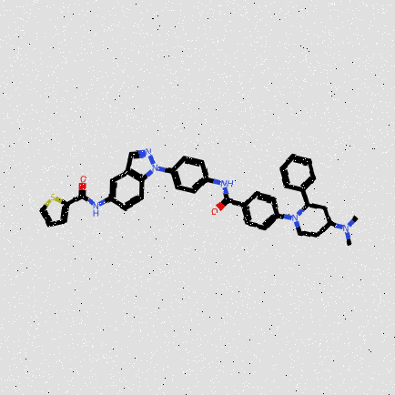 CN(C)C1CCN(c2ccc(C(=O)Nc3ccc(-n4ncc5cc(NC(=O)c6cccs6)ccc54)cc3)cc2)C(c2ccccc2)C1